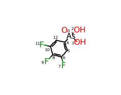 O=[As](O)(O)c1cc(F)c(F)c(F)c1